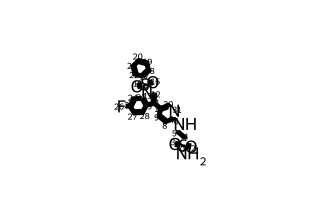 NS(=O)(=O)CCNc1ccc(-c2cn(S(=O)(=O)c3ccccc3)c3cc(F)ccc23)cn1